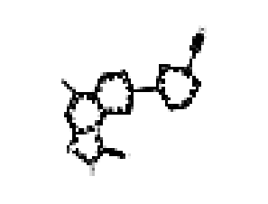 Cc1cc2n[nH]c(=O)n2c2cc(-c3cccc(C#N)c3)ccc12